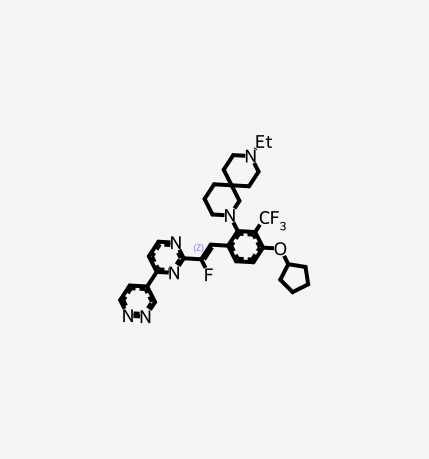 CCN1CCC2(CCCN(c3c(/C=C(\F)c4nccc(-c5ccnnc5)n4)ccc(OC4CCCC4)c3C(F)(F)F)C2)CC1